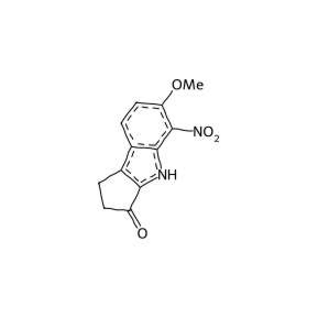 COc1ccc2c3c([nH]c2c1[N+](=O)[O-])C(=O)CC3